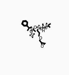 CC(C[Si](C)(O[Si](C)(C)C)O[Si](C)(CCCOCC1CO1)O[SiH](C)O[Si](C)(C)C)c1ccccc1